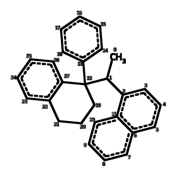 CC(c1cccc2ccccc12)C1(c2ccccc2)CCCc2ccccc21